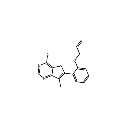 C=CCOc1ccccc1-c1sc2c(Cl)ncnc2c1C